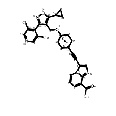 O=C(O)c1cccn2c(C#CC34CCC(OCc5c(-c6c(Cl)cncc6Cl)noc5C5CC5)(CC3)CC4)cnc12